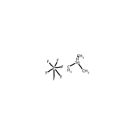 F[P-](F)(F)(F)(F)F.[CH3][SnH]([CH3])[CH3]